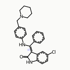 O=C1Nc2ccc(Cl)cc2/C1=C(/Nc1ccc(CN2CCCCC2)cc1)c1ccccc1